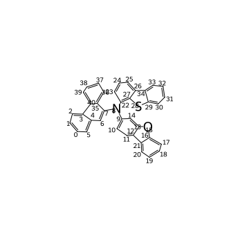 c1ccc2c(c1)cc(N(c1ccc3c(c1)oc1ccccc13)c1cccc3c1sc1ccccc13)c1ccccc12